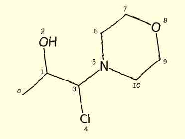 CC(O)C(Cl)N1CCOCC1